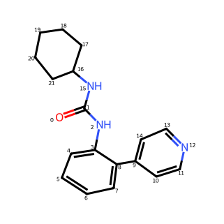 O=C(Nc1ccccc1-c1ccncc1)NC1CCCCC1